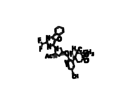 C#Cc1cnc(O[C@H]2C[C@@H](C(C)=O)N(c3nc(C(F)F)nc4c3oc3ccccc34)C2)c([C@]2(F)CCS(=O)(=O)C(C)(C)C2)c1